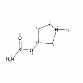 CN1[CH]CC(OC(N)=O)C1